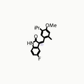 COc1cc(C)c(/C=C2\C(=O)Nc3ccc(F)cc32)cc1C(C)C